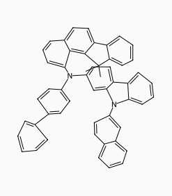 CC1(C)c2ccccc2-c2ccc3cccc(N(c4ccc(-c5ccccc5)cc4)c4ccc5c6ccccc6n(-c6ccc7ccccc7c6)c5c4)c3c21